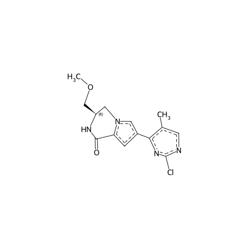 COC[C@H]1Cn2cc(-c3nc(Cl)ncc3C)cc2C(=O)N1